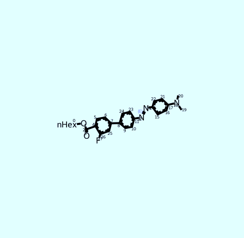 CCCCCCOC(=O)c1ccc(-c2ccc(/N=N/c3ccc(N(C)C)cc3)cc2)cc1F